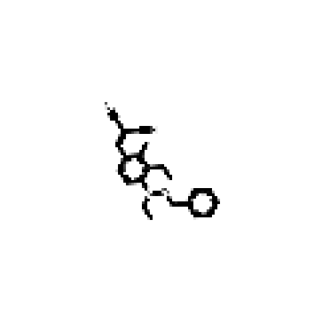 CCc1c(N(CC)OCc2ccccc2)ccc(C=C(C#N)C#N)c1C